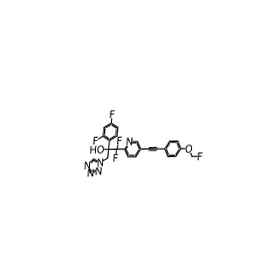 OC(Cn1cnnn1)(c1ccc(F)cc1F)C(F)(F)c1ccc(C#Cc2ccc(OCF)cc2)cn1